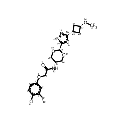 O=C(COc1ccc(Cl)c(F)c1)N[C@H]1CO[C@H](c2nnc([C@H]3C[C@@H](OC(F)(F)F)C3)o2)OC1